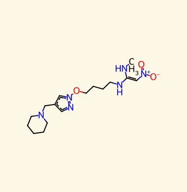 CN/C(=C\[N+](=O)[O-])NCCCCOn1cc(CN2CCCCC2)cn1